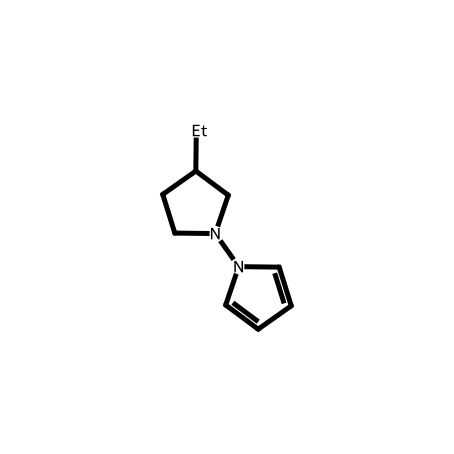 [CH2]CC1CCN(n2cccc2)C1